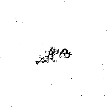 CC1(C)CCOc2c(C(=O)N[C@H]3CN4C(=N)NC(CN5C(=O)CN(C6CC6)C5=O)C5NC(=N)NC54C3(O)O)cccc21